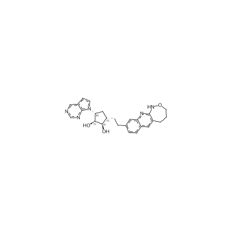 O[C@@H]1[C@@H](CCc2ccc3cc4c(nc3c2)NOCCC4)C[C@@H](n2ccc3cncnc32)[C@@H]1O